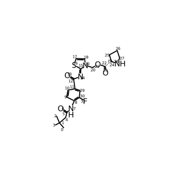 CC(C)(C)CC(=O)Nc1ccc(C(=O)N=c2sccn2COC(=O)[C@@H]2CCCN2)cc1F